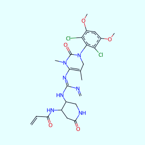 C=CC(=O)NC1CC(=O)NCC1N/C(N=C)=N/C1=C(C)CN(c2c(Cl)c(OC)cc(OC)c2Cl)C(=O)N1C